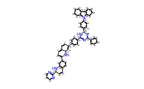 C1=CC2=CC=C(c3ccc4c(c3)NC(c3ncccn3)C=C4)NC2C=C1c1ccc(C2=NC(c3ccccc3)=NC(c3ccc(-n4c5ccccc5c5ccccc54)cc3)N2)cc1